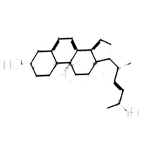 CC(C)[C@@H](C)/C=C/[C@H](C)[C@H]1CC=C2C3=CC=C4C[C@@H](O)CC[C@]4(C)[C@H]3CC[C@@]21C